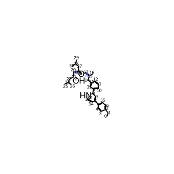 CCc1ccc(C2=CC(c3cccc(C/C(C)=C\O/C(=C\C(O)CC(C)C)CC(C)C)c3)NC=C2)cc1